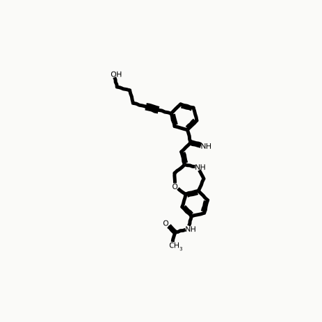 CC(=O)Nc1ccc2c(c1)OC/C(=C/C(=N)c1cccc(C#CCCCO)c1)NC2